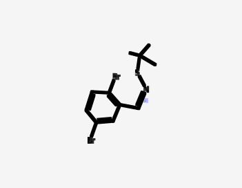 CC(C)(C)S/N=C\c1cc(Br)ccc1Br